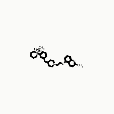 Cc1ccc2c(OCCN3CCC(Cc4cccc([N+]5(S(C)(=O)=O)CCCCC5)c4)CC3)cccc2n1